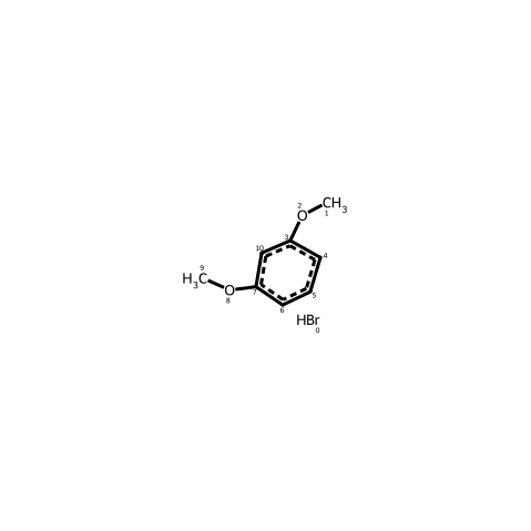 Br.COc1cccc(OC)c1